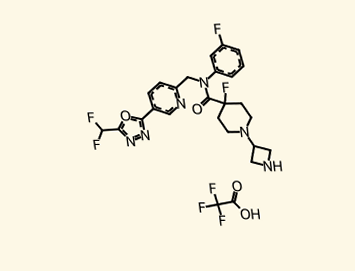 O=C(N(Cc1ccc(-c2nnc(C(F)F)o2)cn1)c1cccc(F)c1)C1(F)CCN(C2CNC2)CC1.O=C(O)C(F)(F)F